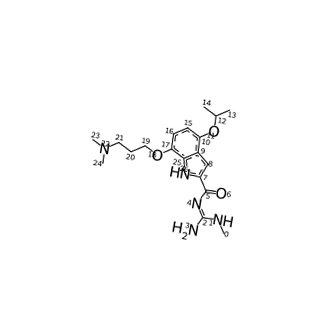 CNC(N)=NC(=O)c1cc2c(OC(C)C)ccc(OCCCN(C)C)c2[nH]1